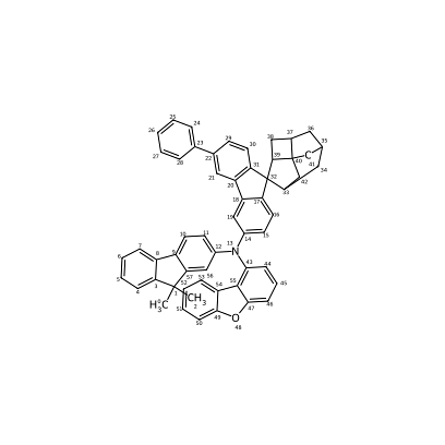 CC1(C)c2ccccc2-c2ccc(N(c3ccc4c(c3)-c3cc(-c5ccccc5)ccc3C43C4CC5CC6CC3C6(C5)C4)c3cccc4oc5ccccc5c34)cc21